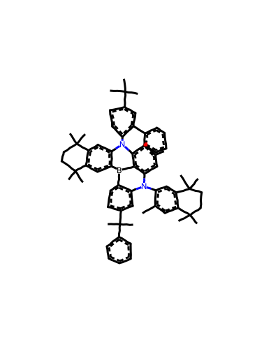 Cc1cc2c3c(c1)N(c1ccc(C(C)(C)C)cc1-c1ccccc1)c1cc4c(cc1B3c1ccc(C(C)(C)c3ccccc3)cc1N2c1cc2c(cc1C)C(C)(C)CCC2(C)C)C(C)(C)CCC4(C)C